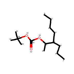 CCCCC(CCC)C(C)OC(=O)OC(C)(C)C